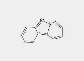 [C]1=CC=CC2=c3ccccc3=[N+]N12